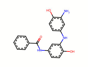 Nc1cc(Nc2cc(NC(=O)c3ccccc3)ccc2O)ccc1O